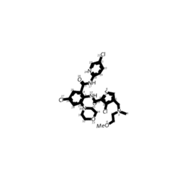 COCCN(C)Cc1csc(C(=O)Nc2c(C(=O)Nc3ccc(Cl)cn3)cc(Cl)cc2N2CCOCC2)c1Cl